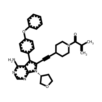 C=C(C)C(=O)N1CCC(C#Cc2c(-c3ccc(Oc4ccccc4)cc3)c3c(N)ncnc3n2[C@@H]2CCOC2)CC1